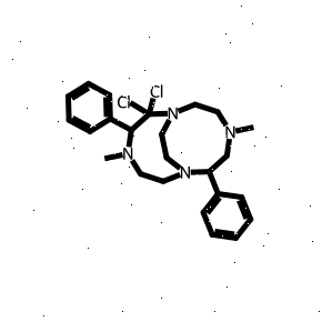 CN1CCN2CCN(CCN(C)C(c3ccccc3)C2(Cl)Cl)C(c2ccccc2)C1